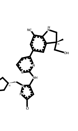 C[C@]1(CO)CNc2c(C#N)cc(-c3ccnc(Nc4cc(Cl)nn4C[C@@H]4CCOC4)n3)cc21